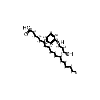 CCCCCCCCCCCCCCCCCC(=O)O.OCCCNc1ccccc1